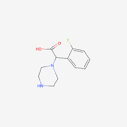 O=C(O)C(c1ccccc1F)N1CCNCC1